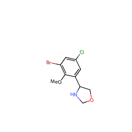 COc1c(Br)cc(Cl)cc1C1COCN1